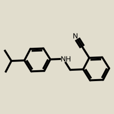 CC(C)c1ccc(NCc2ccccc2C#N)cc1